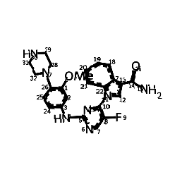 COc1cc(Nc2ncc(F)c(-n3cc(C(N)=O)c4ccccc43)n2)ccc1N1CCNCC1